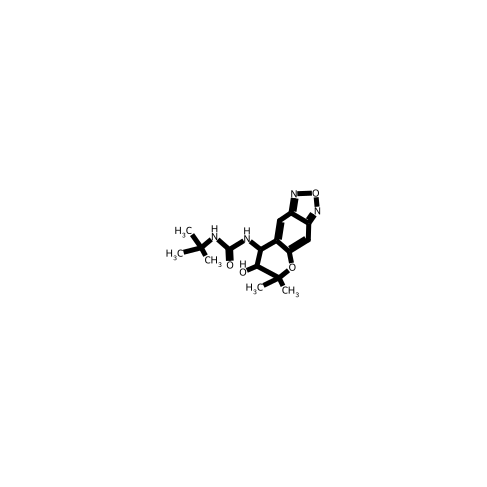 CC(C)(C)NC(=O)NC1c2cc3nonc3cc2OC(C)(C)C1O